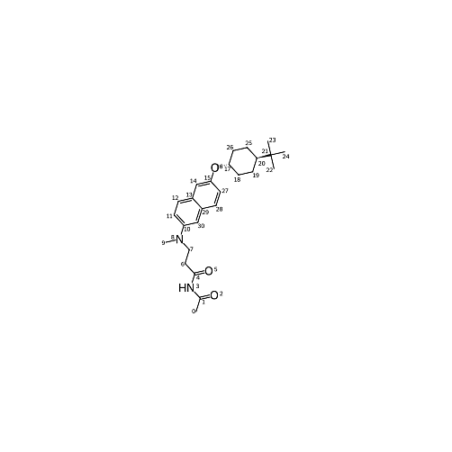 CC(=O)NC(=O)CCN(C)c1ccc2cc(O[C@H]3CC[C@H](C(C)(C)C)CC3)ccc2c1